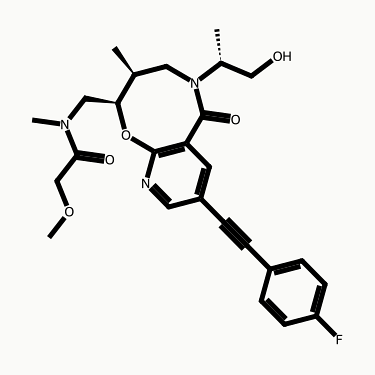 COCC(=O)N(C)C[C@@H]1Oc2ncc(C#Cc3ccc(F)cc3)cc2C(=O)N([C@H](C)CO)C[C@@H]1C